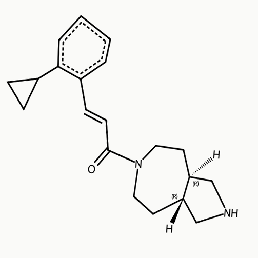 O=C(C=Cc1ccccc1C1CC1)N1CC[C@H]2CNC[C@@H]2CC1